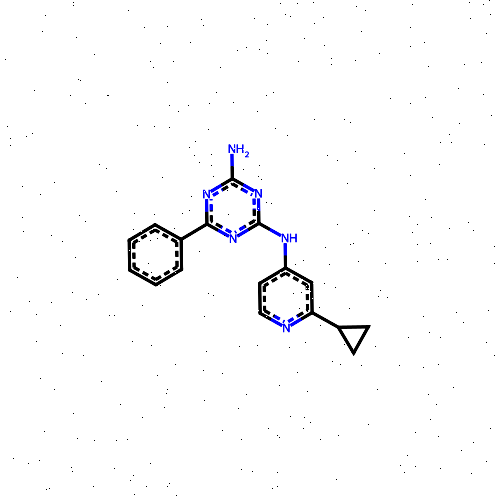 Nc1nc(Nc2ccnc(C3CC3)c2)nc(-c2ccccc2)n1